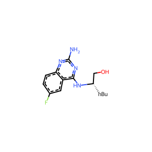 CCCC[C@@H](CO)Nc1nc(N)nc2ccc(F)cc12